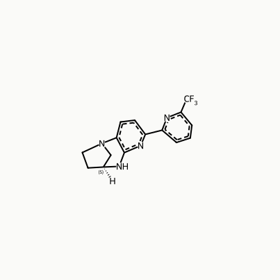 FC(F)(F)c1cccc(-c2ccc3c(n2)N[C@H]2CCN3C2)n1